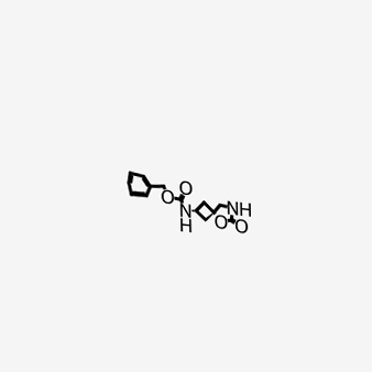 O=C(N[C@H]1C[C@]2(CNC(=O)O2)C1)OCc1ccccc1